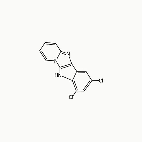 Clc1cc(Cl)c2[nH]c3c(nc4ccccn43)c2c1